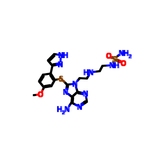 COc1ccc(-c2cc[nH]n2)c(Sc2nc3c(N)ncnc3n2CCNCCNS(N)(=O)=O)c1